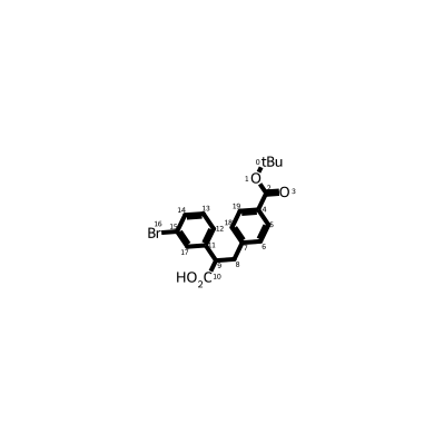 CC(C)(C)OC(=O)c1ccc(CC(C(=O)O)c2cccc(Br)c2)cc1